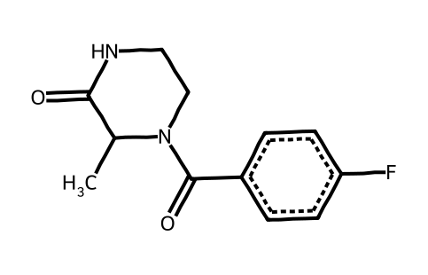 CC1C(=O)NCCN1C(=O)c1ccc(F)cc1